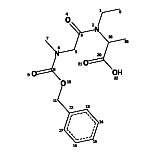 CCN(C(=O)CN(C)C(=O)OCc1ccccc1)C(C)C(=O)O